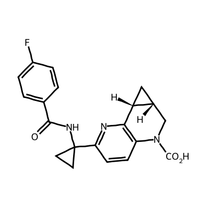 O=C(NC1(c2ccc3c(n2)[C@@H]2C[C@@H]2CN3C(=O)O)CC1)c1ccc(F)cc1